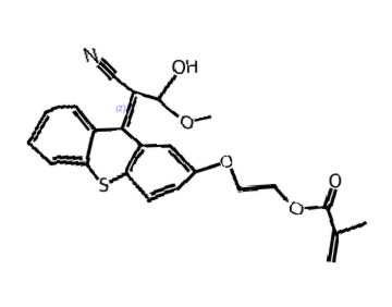 C=C(C)C(=O)OCCOc1ccc2c(c1)/C(=C(/C#N)C(O)OC)c1ccccc1S2